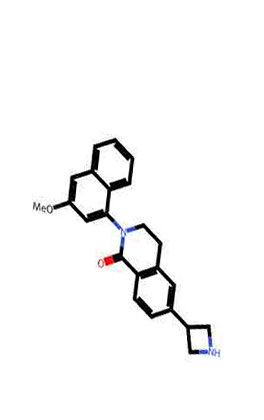 COc1cc(N2CCc3cc(C4CNC4)ccc3C2=O)c2ccccc2c1